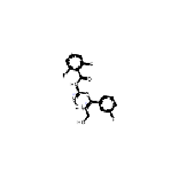 C/N=C(/NC(=O)c1c(F)cccc1F)S/C(=C/CO)c1cccc(F)c1